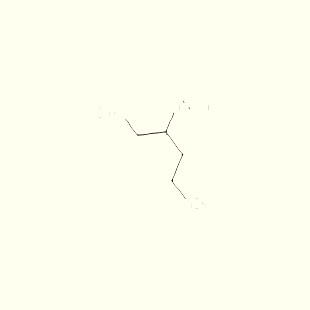 CCCCCCCCCCCC[C](CCCCCCCCC)CCCCCCCCCCC